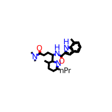 CCCC1=NC(C(CCC(=O)N(C)C)NC(=O)c2cc3cccc(C)c3[nH]2)C(C)CC1